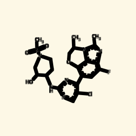 Cc1nc2c(F)cc(-c3nc(NC4CCN(S(C)(=O)=O)CC4O)ncc3Cl)c3c2n1C(C)CO3